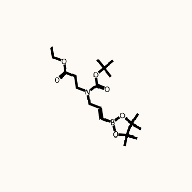 CCOC(=O)CCN(C/C=C/B1OC(C)(C)C(C)(C)O1)C(=O)OC(C)(C)C